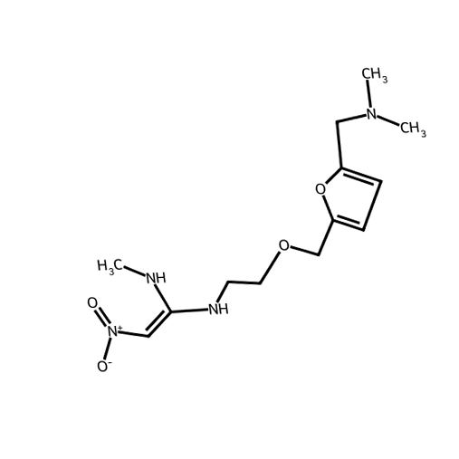 CNC(=C[N+](=O)[O-])NCCOCc1ccc(CN(C)C)o1